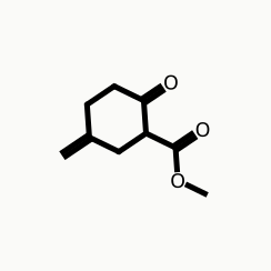 C=C1CCC(=O)C(C(=O)OC)C1